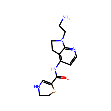 NCCN1CCc2c(NC(=O)C3=CNCCS3)ccnc21